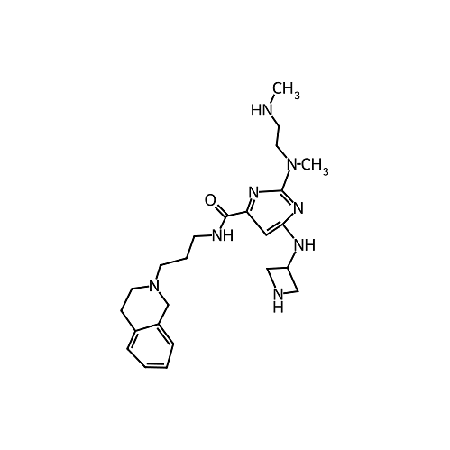 CNCCN(C)c1nc(NC2CNC2)cc(C(=O)NCCCN2CCc3ccccc3C2)n1